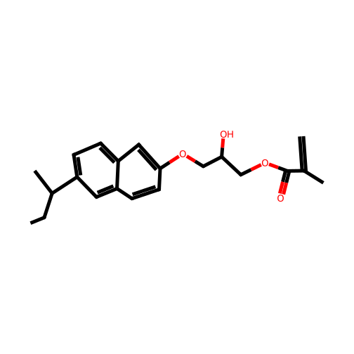 C=C(C)C(=O)OCC(O)COc1ccc2cc(C(C)CC)ccc2c1